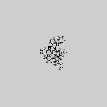 c1ccc(-c2nc(-c3cccc4c3oc3ccccc34)nc(-c3cccc4oc5ccc(-c6nc(-c7ccccc7)nc7c6oc6ccccc67)cc5c34)n2)cc1